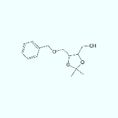 CC1(C)OC(CO)C(COCc2ccccc2)O1